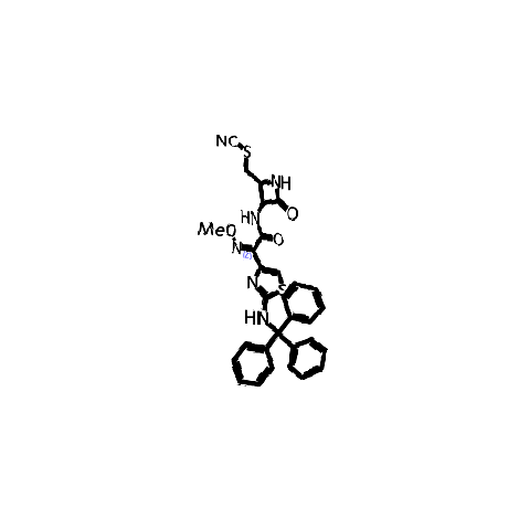 CO/N=C(\C(=O)NC1C(=O)NC1CSC#N)c1csc(NC(c2ccccc2)(c2ccccc2)c2ccccc2)n1